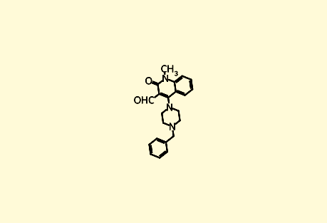 Cn1c(=O)c(C=O)c(N2CCN(Cc3ccccc3)CC2)c2ccccc21